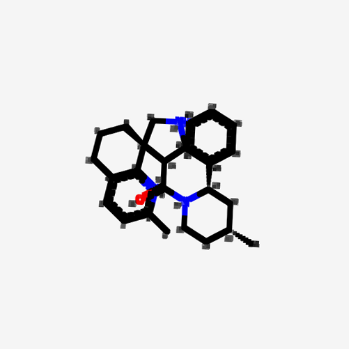 Cc1ccc2c(n1)[C@]1(CCC2)CNCC1C(=O)N1CC[C@@H](C)C[C@H]1c1ccccc1